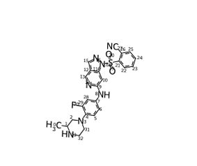 CC1CN(c2ccc(Nc3cc4c(cn3)cnn4S(=O)(=O)c3ccccc3C#N)cc2F)CCN1